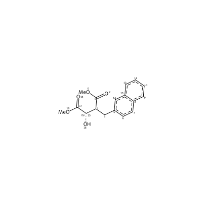 COC(=O)C(Cc1ccc2ccccc2c1)[C@H](O)C(=O)OC